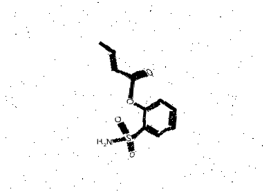 C/C=C/C(=O)Oc1ccccc1S(N)(=O)=O